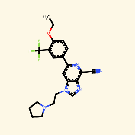 CCOc1ccc(-c2cc3c(ncn3CCN3CCCC3)c(C#N)n2)cc1C(F)(F)F